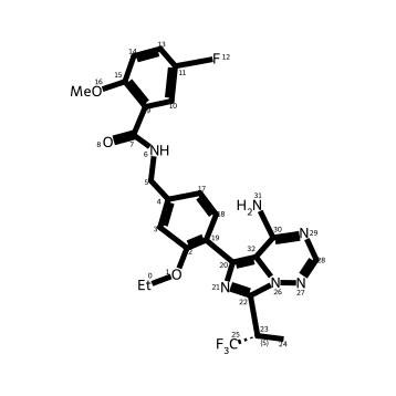 CCOc1cc(CNC(=O)c2cc(F)ccc2OC)ccc1-c1nc([C@H](C)C(F)(F)F)n2ncnc(N)c12